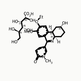 CCOc1cc2c(cc1OC)C(c1ccc(=O)n(C)c1)=N[C@@H]1CC[C@@H](O)C[C@H]21.O=C(O)[C@H](O)[C@@H](O)[C@H](O)[C@H](O)CO